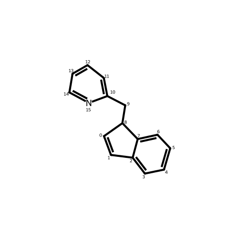 [C]1=Cc2ccccc2C1Cc1ccccn1